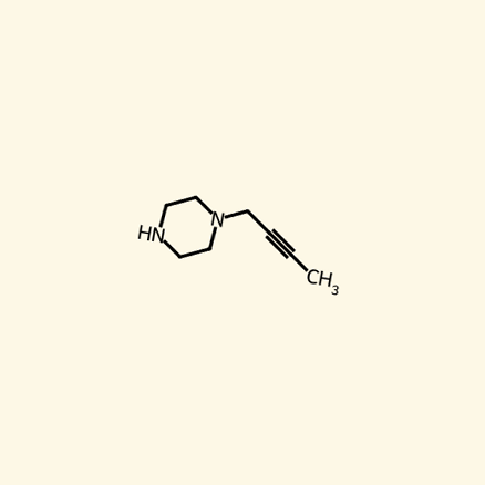 CC#CCN1CCNCC1